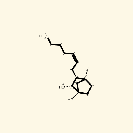 O=C(O)CCC/C=C\C[C@H]1[C@H]2CC[C@H](C2)[C@@H]1O